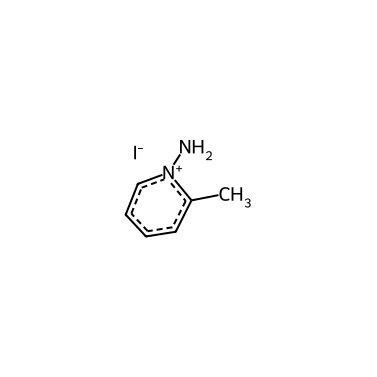 Cc1cccc[n+]1N.[I-]